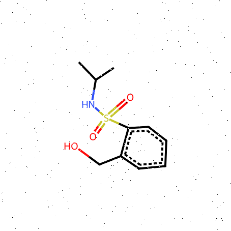 CC(C)NS(=O)(=O)c1ccccc1CO